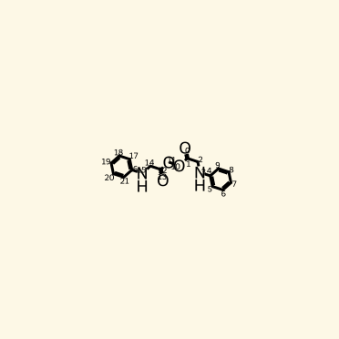 O=C(CNc1ccccc1)OOC(=O)CNc1ccccc1